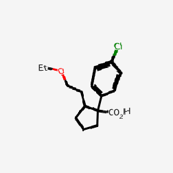 CCOCCC1CCCC1(C(=O)O)c1ccc(Cl)cc1